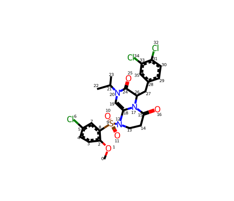 COc1ccc(Cl)cc1S(=O)(=O)N1CCC(=O)N2C1=CN(C(C)C)C(=O)C2Cc1ccc(Cl)c(Cl)c1